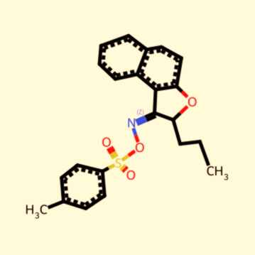 CCCC1Oc2ccc3ccccc3c2/C1=N/OS(=O)(=O)c1ccc(C)cc1